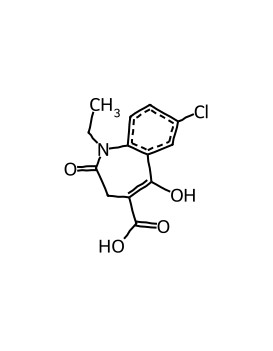 CCN1C(=O)CC(C(=O)O)=C(O)c2cc(Cl)ccc21